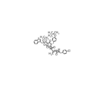 CCOC(Cc1csc2ccccc12)(OCC)[C@H](C)NC(=O)[C@H](Cc1ccc(OC(C)(C)C)cc1)NC(=O)CN(C)NC(=O)NCc1ccc(Cl)cc1